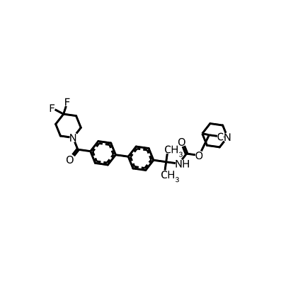 CC(C)(NC(=O)OC1CN2CCC1CC2)c1ccc(-c2ccc(C(=O)N3CCC(F)(F)CC3)cc2)cc1